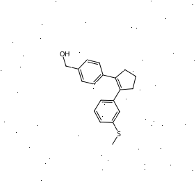 CSc1cccc(C2=C(c3ccc(CO)cc3)CCC2)c1